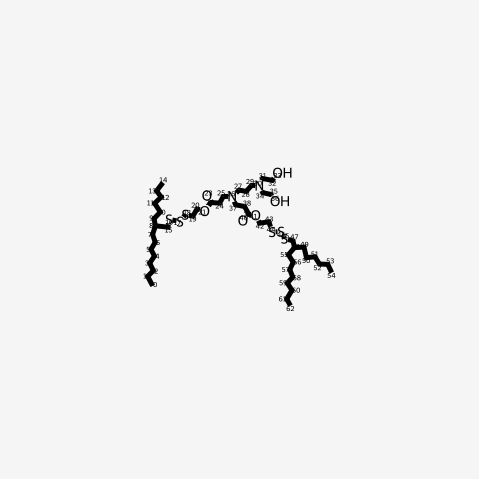 CCCCCCCCC(CCCCCC)CSSSCCOC(=O)CCN(CCCN(CCO)CCO)CCC(=O)OCCSSSCC(CCCCCC)CCCCCCCC